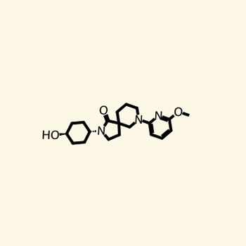 COc1cccc(N2CCCC3(CCN([C@H]4CC[C@H](O)CC4)C3=O)C2)n1